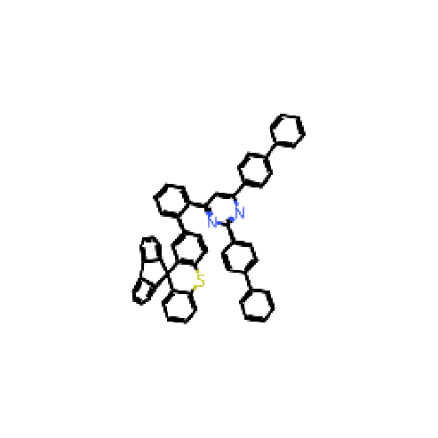 c1ccc(-c2ccc(-c3cc(-c4ccccc4-c4ccc5c(c4)C4(c6ccccc6S5)c5ccccc5-c5ccccc54)nc(-c4ccc(-c5ccccc5)cc4)n3)cc2)cc1